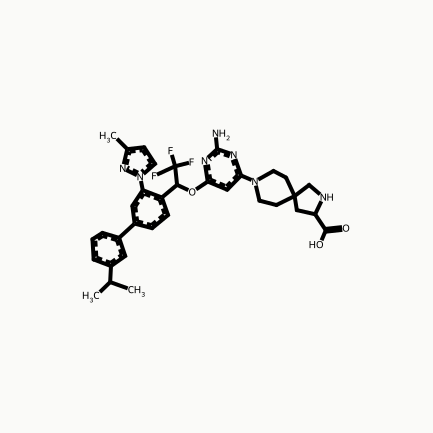 Cc1ccn(-c2cc(-c3cccc(C(C)C)c3)ccc2C(Oc2cc(N3CCC4(CC3)CNC(C(=O)O)C4)nc(N)n2)C(F)(F)F)n1